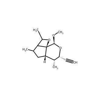 C#C[C@H]1O[C@H](OC)[C@@]23OC(C)C2C(C)C[C@H]3[C@H]1C